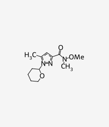 CON(C)C(=O)c1cc(C)n(C2CCCCO2)n1